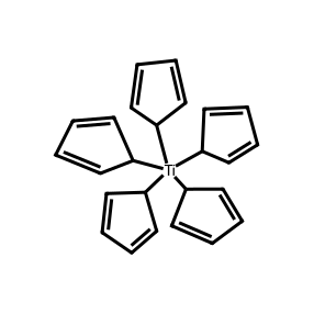 C1=C[CH]([Ti]([CH]2C=CC=C2)([CH]2C=CC=C2)([CH]2C=CC=C2)[CH]2C=CC=C2)C=C1